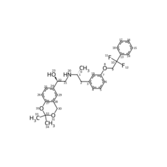 C[C@H](Cc1cccc(OCC(F)(F)c2ccccc2)c1)NC[C@H](O)c1ccc2c(c1)COC(C)(C)O2